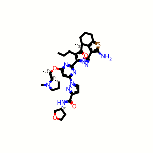 CCCc1c(-c2nc(O[C@@H](C)[C@@H]3CCCN3C)cc(-n3ccc(C(=O)N[C@@H]4CCOC4)n3)n2)noc1[C@@]1(C)CCCc2sc(N)c(C#N)c21